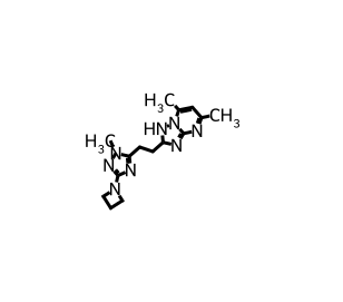 CC1=CC(C)=NC2=NC(CCc3nc(N4CCC4)nn3C)NN12